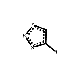 Ic1csnn1